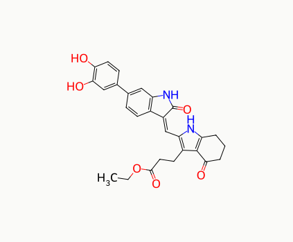 CCOC(=O)CCc1c(/C=C2\C(=O)Nc3cc(-c4ccc(O)c(O)c4)ccc32)[nH]c2c1C(=O)CCC2